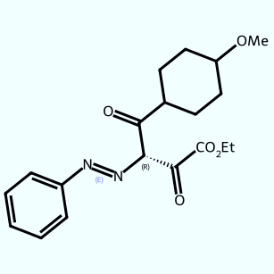 CCOC(=O)C(=O)[C@H](/N=N/c1ccccc1)C(=O)C1CCC(OC)CC1